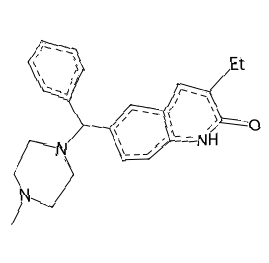 CCc1cc2cc(C(c3ccccc3)N3CCN(C)CC3)ccc2[nH]c1=O